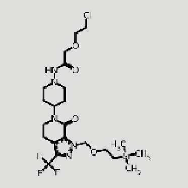 C[Si](C)(C)CCOCn1nc(C(F)(F)F)c2c1C(=O)N(C1CCN(NC(=O)COCCCl)CC1)CC2